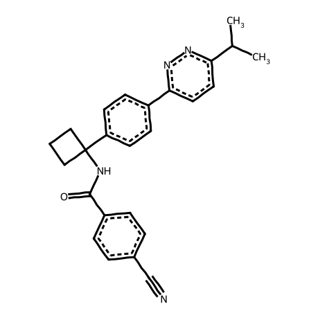 CC(C)c1ccc(-c2ccc(C3(NC(=O)c4ccc(C#N)cc4)CCC3)cc2)nn1